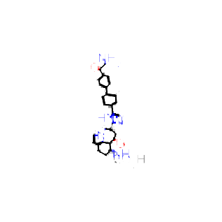 NCC(=O)c1ccc(-c2ccc(-c3cnc([C@H]4CC(=O)C5c6c(ccn6C4)CC[C@@H]5NC(=O)O)[nH]3)cc2)cc1